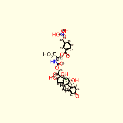 C[C@]12C[C@H](O)[C@@]3(F)[C@@H](CCC4=CC(=O)C=C[C@@]43C)[C@@H]1C[C@@H](O)C2(O)C(=O)COC(=O)NC(COC(=O)c1cccc(CON(O)O)c1)C(=O)O